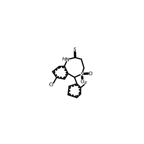 O=S1(=O)CCC(=S)Nc2ccc(Cl)cc2C1c1ccccc1F